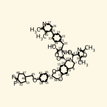 Cc1nc(C(=O)N2CCc3cc4c(cc3[C@H]2C(=O)NC(Cc2ccc(-c3ccnc(C)c3C)cc2)C(=O)O)O[C@@H](c2ccc(OCC3CCC(F)(F)CC3)cc2)CO4)c(C)o1